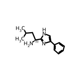 CC(C)C[C@H](N)c1nc(-c2ccccc2)c[nH]1